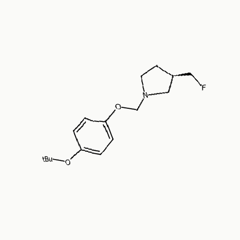 CC(C)(C)Oc1ccc(OCN2CC[C@@H](CF)C2)cc1